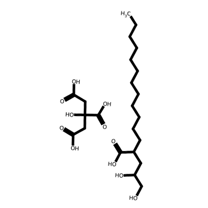 CCCCCCCCCCCCC(CC(O)CO)C(=O)O.O=C(O)CC(O)(CC(=O)O)C(=O)O